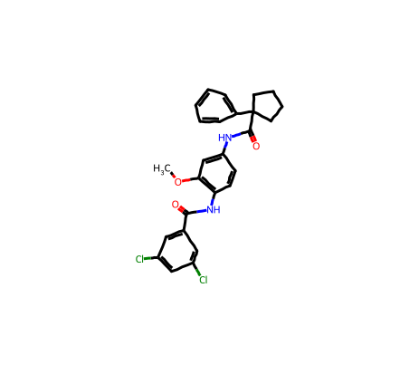 COc1cc(NC(=O)C2(c3ccccc3)CCCC2)ccc1NC(=O)c1cc(Cl)cc(Cl)c1